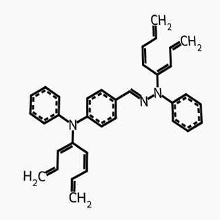 C=C/C=C\C(=C/C=C)N(/N=C/c1ccc(N(C(/C=C\C=C)=C/C=C)c2ccccc2)cc1)c1ccccc1